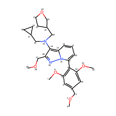 COCc1cc(OC)c(-c2cccc3c(N(CC4CC4)CC4CCOC4)c(COC)nn23)c(OC)c1